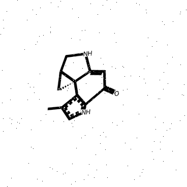 Cc1c[nH]c2c1[C@@]13CC1CNC3=CC2=O